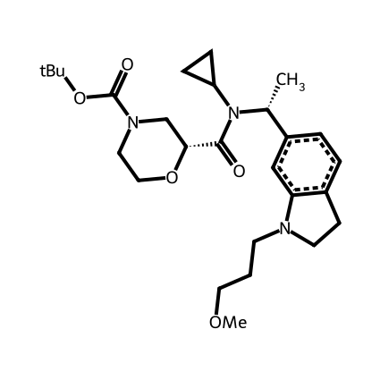 COCCCN1CCc2ccc([C@@H](C)N(C(=O)[C@H]3CN(C(=O)OC(C)(C)C)CCO3)C3CC3)cc21